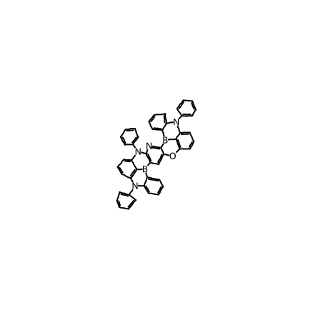 c1ccc(N2c3ccccc3B3c4nc5c(cc4Oc4cccc2c43)B2c3ccccc3N(c3ccccc3)c3cccc(c32)N5c2ccccc2)cc1